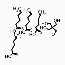 C=CCCCC(O)=S.C=CCCCC(O)=S.C=CCCCC(O)=S.C=CCCCC(O)=S.OCC(CO)(CO)CO